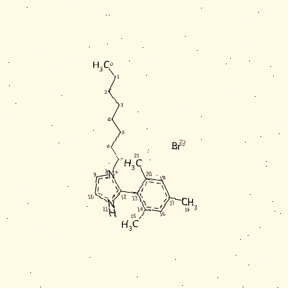 CCCCCCCC[n+]1cc[nH]c1-c1c(C)cc(C)cc1C.[Br-]